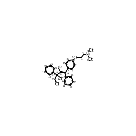 CCN(CC)CCOc1ccc(C(=C(I)C(I)(CCl)c2ccccc2)c2ccccc2)cc1